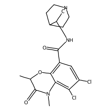 CC1Oc2c(C(=O)NC3CN4CCC3CC4)cc(Cl)c(Cl)c2N(C)C1=O